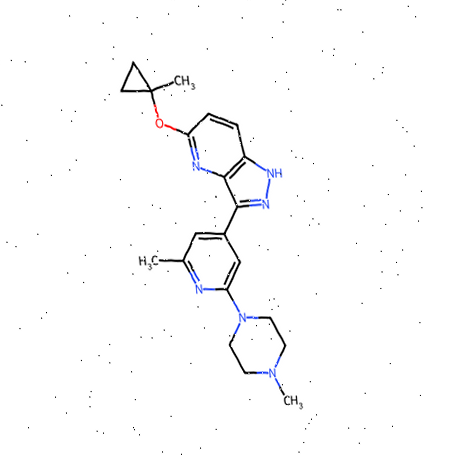 Cc1cc(-c2n[nH]c3ccc(OC4(C)CC4)nc23)cc(N2CCN(C)CC2)n1